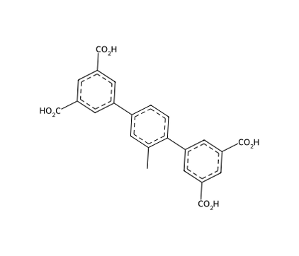 Cc1cc(-c2cc(C(=O)O)cc(C(=O)O)c2)ccc1-c1cc(C(=O)O)cc(C(=O)O)c1